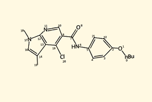 CCCCOc1ccc(NC(=O)c2cnc3c(c(C)cn3C)c2Cl)cc1